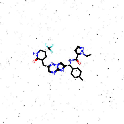 CCn1nccc1C(=O)N[C@H](c1cn2nc(CC3C[C@@H](C(F)(F)F)CNC3=O)cnc2n1)C1CCC(C)CC1